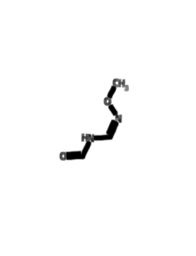 CO/N=C\NC=O